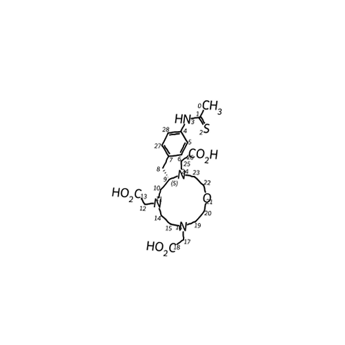 CC(=S)Nc1ccc(C[C@H]2CN(CC(=O)O)CCN(CC(=O)O)CCOCCN2CC(=O)O)cc1